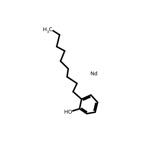 CCCCCCCCCc1ccccc1O.[Nd]